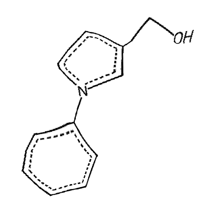 OCc1ccn(-c2ccccc2)c1